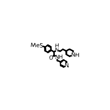 CSc1ccc(C(NCCC2CCNCC2)C(=O)NCc2ccncc2)cc1